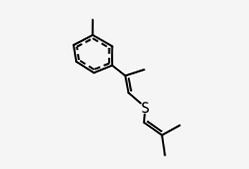 CC(C)=CS/C=C(\C)c1cccc(C)c1